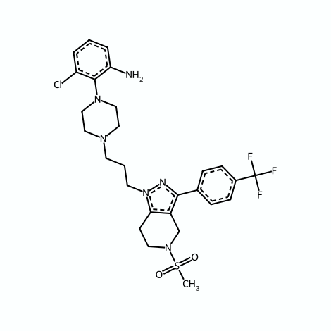 CS(=O)(=O)N1CCc2c(c(-c3ccc(C(F)(F)F)cc3)nn2CCCN2CCN(c3c(N)cccc3Cl)CC2)C1